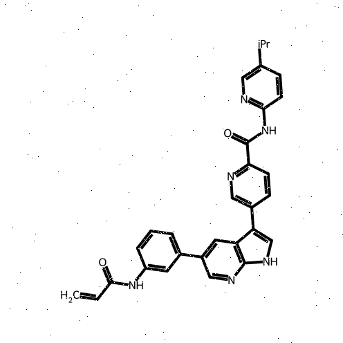 C=CC(=O)Nc1cccc(-c2cnc3[nH]cc(-c4ccc(C(=O)Nc5ccc(C(C)C)cn5)nc4)c3c2)c1